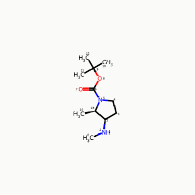 CN[C@@H]1CCN(C(=O)OC(C)(C)C)[C@@H]1C